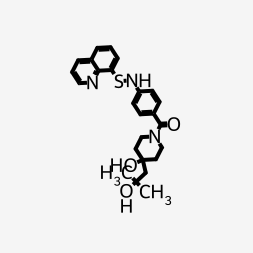 CC(C)(O)CC1(O)CCN(C(=O)c2ccc(NSc3cccc4cccnc34)cc2)CC1